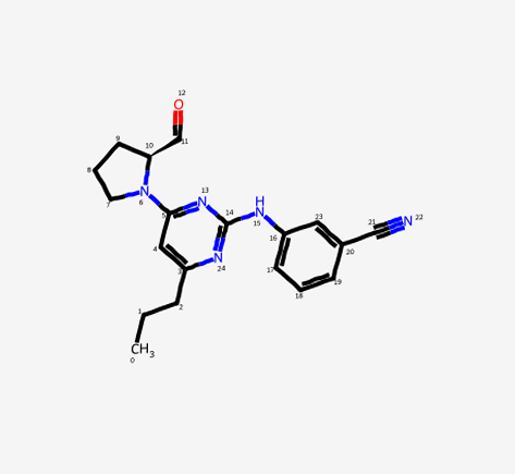 CCCc1cc(N2CCC[C@H]2C=O)nc(Nc2cccc(C#N)c2)n1